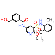 COc1ncc(NC(=O)c2cccc(CO)c2)cc1S(=O)(=O)Nc1c(C)cccc1C